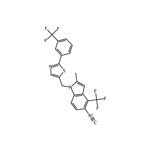 [C-]#[N+]c1ccc2c(cc(C)n2Cc2cnc(-c3cccc(C(F)(F)F)c3)s2)c1C(F)(F)F